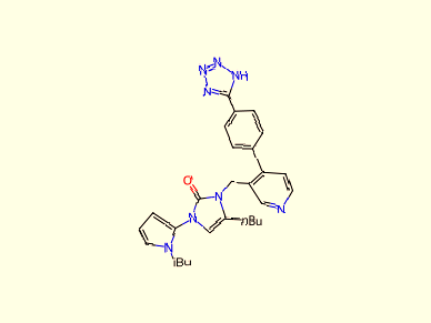 CCCCc1cn(-c2cccn2C(C)CC)c(=O)n1Cc1cnccc1-c1ccc(-c2nnn[nH]2)cc1